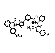 CN(Cc1ccc(F)cc1)C(=O)[C@@H](NC(=O)c1cccc(-c2csc(NC(=O)c3ccccc3-c3ccc(C(C)(C)C)cc3)n2)c1)c1ccccc1